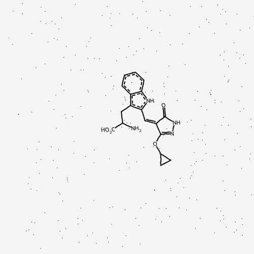 NC(Cc1c(C=C2C(=O)NN=C2OC2CC2)[nH]c2ccccc12)C(=O)O